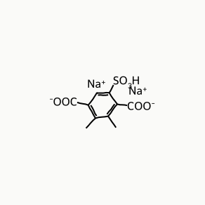 Cc1c(C(=O)[O-])cc(S(=O)(=O)O)c(C(=O)[O-])c1C.[Na+].[Na+]